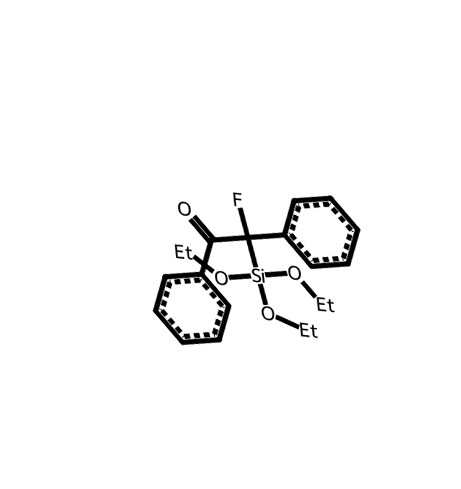 CCO[Si](OCC)(OCC)C(F)(C(=O)c1ccccc1)c1ccccc1